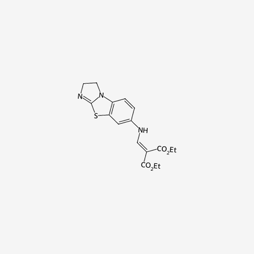 CCOC(=O)C(=CNc1ccc2c(c1)SC1=NCCN12)C(=O)OCC